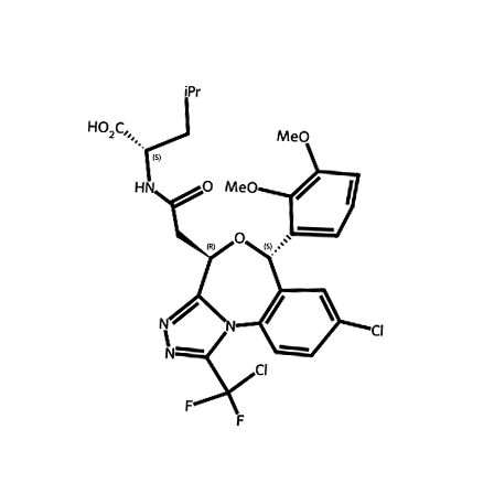 COc1cccc([C@H]2O[C@H](CC(=O)N[C@@H](CC(C)C)C(=O)O)c3nnc(C(F)(F)Cl)n3-c3ccc(Cl)cc32)c1OC